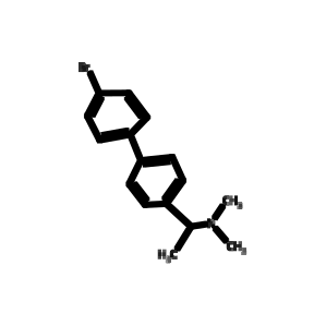 CC(c1ccc(-c2ccc(Br)cc2)cc1)N(C)C